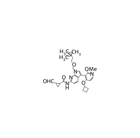 COc1nccc(OC2CCC2)c1-c1cn(COCC[Si](C)(C)C)c2nc(NC(=O)C3CC3C=O)ccc12